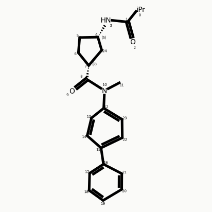 CC(C)C(=O)N[C@H]1CC[C@@H](C(=O)N(C)c2ccc(-c3ccccc3)cc2)C1